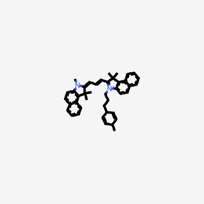 CC1C=CC(CCC[N+]2=C(/C=C/C=C3/N(C)c4ccc5ccccc5c4C3(C)C)C(C)(C)c3c2ccc2ccccc32)C=C1